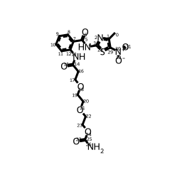 Cc1nc(NC(=O)c2ccccc2NC(=O)CCOCCOCCOC(N)=O)sc1[N+](=O)[O-]